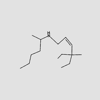 CCCCC(C)NC/C=C\C(C)(CC)CC